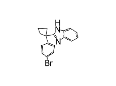 Brc1ccc(C2(c3nc4ccccc4[nH]3)CCC2)cc1